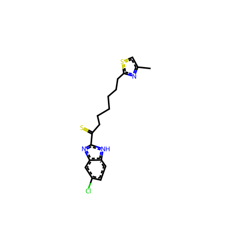 Cc1csc(CCCCCCC(=S)c2nc3cc(Cl)ccc3[nH]2)n1